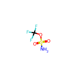 NS(=O)(=O)OC(F)(F)F